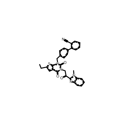 CCc1cc2c(=O)n(CC(=O)c3nc4ccccc4n3C)c(=O)n(Cc3ccc(-c4ccccc4C#N)cc3)c2s1